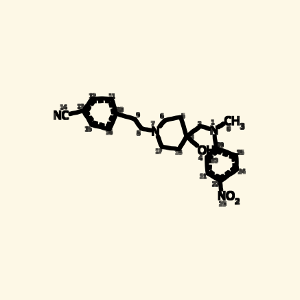 CN(CC1(O)CCN(CCc2ccc(C#N)cc2)CC1)c1ccc([N+](=O)[O-])cc1